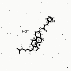 CC(C)CCC[C@@H](C)[C@H]1CC[C@H]2[C@@H]3CC=C4C[C@@H](OC(=O)CCc5cnc[nH]5)CC[C@]4(C)[C@H]3CC[C@]12C.Cl